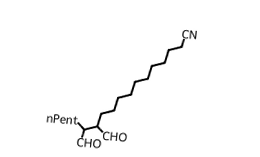 CCCCCC(C=O)C(C=O)CCCCCCCCCCC#N